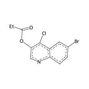 CCC(=O)Oc1cnc2ccc(Br)cc2c1Cl